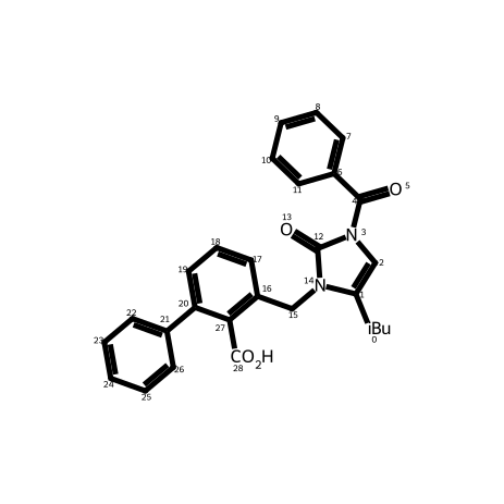 CCC(C)c1cn(C(=O)c2ccccc2)c(=O)n1Cc1cccc(-c2ccccc2)c1C(=O)O